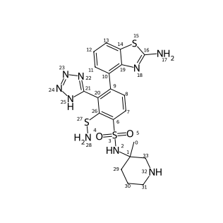 CC1(NS(=O)(=O)c2ccc(-c3cccc4sc(N)nc34)c(-c3nnn[nH]3)c2SN)CCCNC1